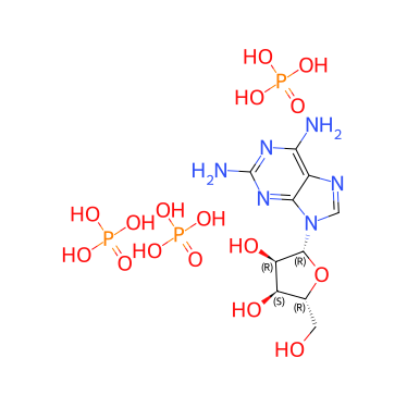 Nc1nc(N)c2ncn([C@@H]3O[C@H](CO)[C@@H](O)[C@H]3O)c2n1.O=P(O)(O)O.O=P(O)(O)O.O=P(O)(O)O